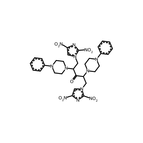 O=C(C(Cn1cc([N+](=O)[O-])nc1[N+](=O)[O-])N1CCN(c2ccccc2)CC1)C(Cn1cc([N+](=O)[O-])nc1[N+](=O)[O-])N1CCN(c2ccccc2)CC1